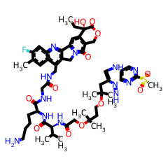 CC[C@@]1(O)C(=O)OCc2c1cc1n(c2=O)Cc2c-1nc1cc(F)c(C)cc1c2CNC(=O)CNC(=O)C(CCCCN)NC(=O)[C@@H](NC(=O)COC(C)(C)CCOC(C)(C)C/C(=C/Nc1cnc(S(C)(=O)=O)nc1)N=N)C(C)C